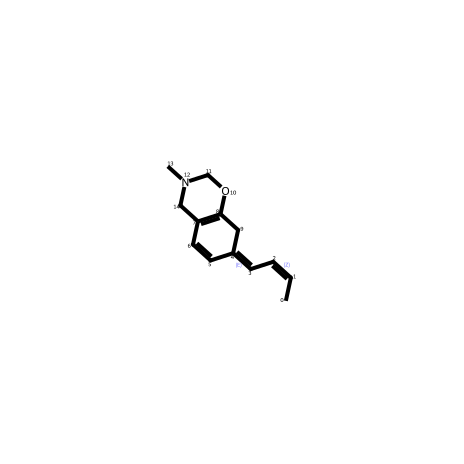 C/C=C\C=C1\C=CC2=C(C1)OCN(C)C2